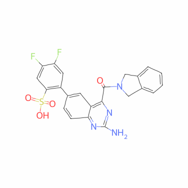 Nc1nc(C(=O)N2Cc3ccccc3C2)c2cc(-c3cc(F)c(F)cc3S(=O)(=O)O)ccc2n1